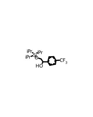 CC(C)[Si](OCC(O)c1ccc(C(F)(F)F)cc1)(C(C)C)C(C)C